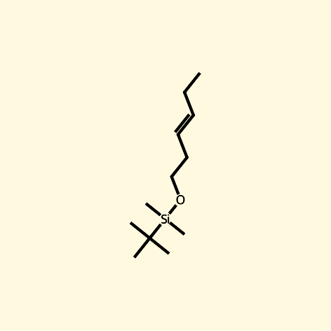 CC/C=C/CCO[Si](C)(C)C(C)(C)C